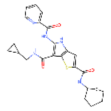 O=C(Nc1[nH]c2cc(C(=O)NC3CCCCC3)sc2c1C(=O)NCC1CC1)c1ccccn1